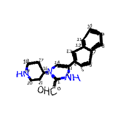 O=CC1NC(c2ccc3ccccc3c2)=CN1C1CCNCC1